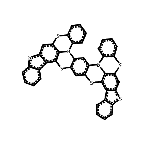 c1ccc2c(c1)Sc1cc3sc4ccccc4c3c3c1B2c1cc2c(cc1S3)Sc1c3c(cc4sc5ccccc5c14)Sc1ccccc1B23